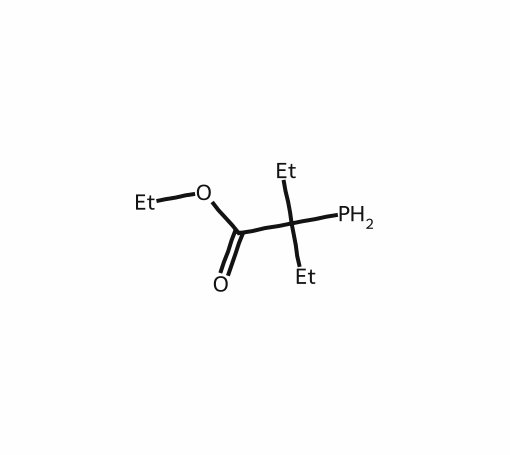 CCOC(=O)C(P)(CC)CC